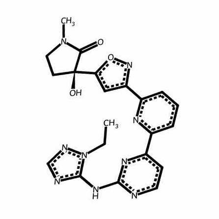 CCn1ncnc1Nc1nccc(-c2cccc(-c3cc([C@]4(O)CCN(C)C4=O)on3)n2)n1